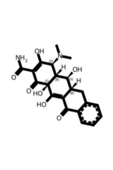 CN(C)[C@@H]1C(O)=C(C(N)=O)C(=O)[C@@]2(O)C(O)=C3C(=O)c4ccccc4C[C@H]3[C@H](O)[C@@H]12